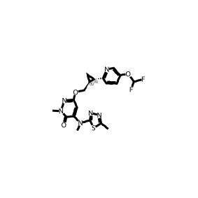 Cc1nnc(N(C)c2cc(OC[C@H]3C[C@@H]3c3ccc(OC(F)F)cn3)nn(C)c2=O)s1